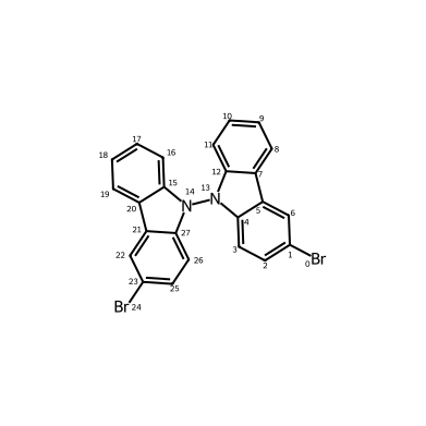 Brc1ccc2c(c1)c1ccccc1n2-n1c2ccccc2c2cc(Br)ccc21